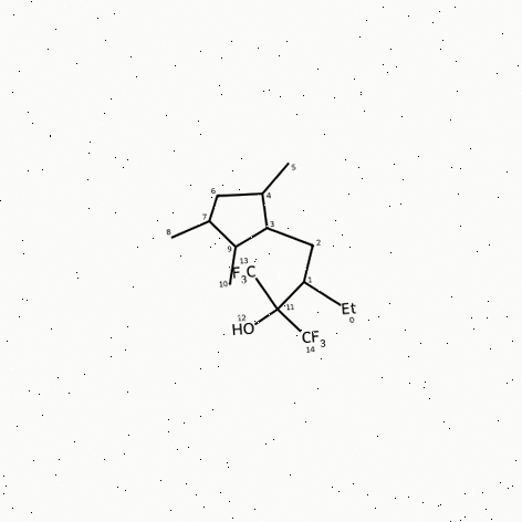 CCC(CC1C(C)CC(C)C1C)C(O)(C(F)(F)F)C(F)(F)F